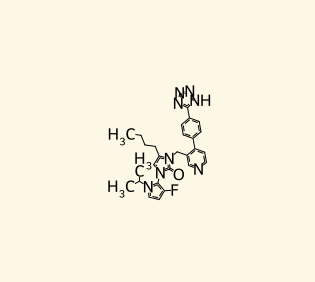 CCCCc1cn(-c2c(F)ccn2C(C)C)c(=O)n1Cc1cnccc1-c1ccc(-c2nnn[nH]2)cc1